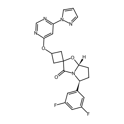 O=C1N2[C@@H](CC[C@H]2c2cc(F)cc(F)c2)OC12CC(Oc1cc(-n3cccn3)ncn1)C2